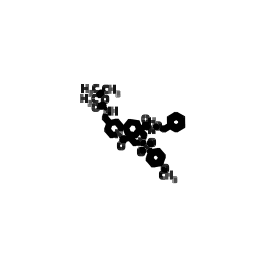 COc1ccc(S(=O)(=O)N(CCC(=O)N2CCC(CNC(=O)OC(C)(C)C)CC2)CC2(C(=O)NOCc3ccccc3)CCCCC2)cc1